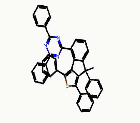 CC1(c2ccccc2)c2cccc(-c3nc(-c4ccccc4)nc(-c4ccccc4)n3)c2-c2c(-c3ccccc3)sc(-c3ccccc3)c21